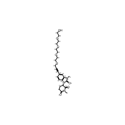 CN1C(=O)CCC(n2c(=O)n(C)c3cc(C#CCOCCOCCOCCOCCO)ccc32)C1=O